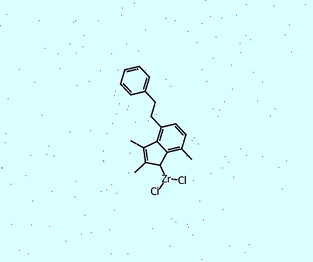 CC1=C(C)[CH]([Zr]([Cl])[Cl])c2c(C)ccc(CCc3ccccc3)c21